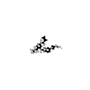 [2H]C([2H])([2H])NC(=O)c1cnc(NC(=O)[C@@H]2CC23CC3)cc1Nc1nc2ccc(N3CC(OC)C3)cn2n1